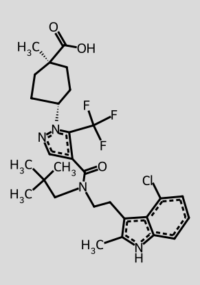 Cc1[nH]c2cccc(Cl)c2c1CCN(CC(C)(C)C)C(=O)c1cnn([C@H]2CC[C@](C)(C(=O)O)CC2)c1C(F)(F)F